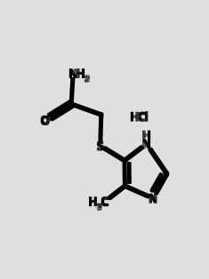 Cc1nc[nH]c1SCC(N)=O.Cl